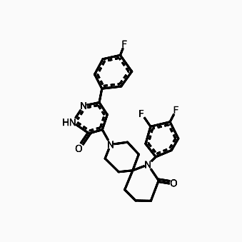 O=C1CCCC2(CCN(c3cc(-c4ccc(F)cc4)n[nH]c3=O)CC2)N1c1ccc(F)c(F)c1